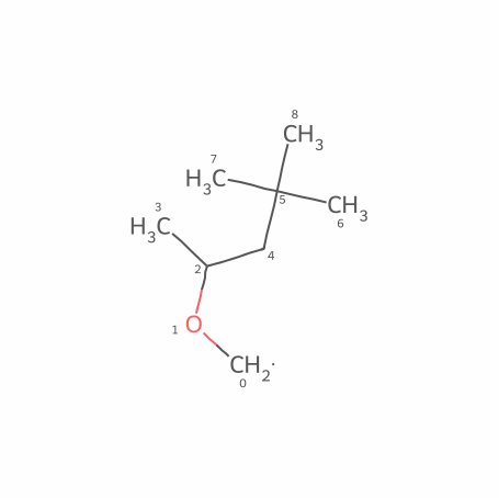 [CH2]OC(C)CC(C)(C)C